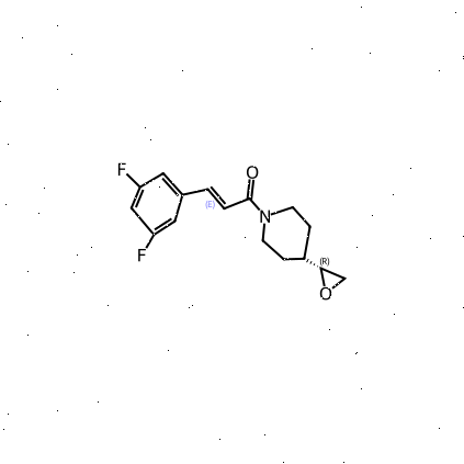 O=C(/C=C/c1cc(F)cc(F)c1)N1CCC([C@@H]2CO2)CC1